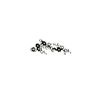 CNC(=O)c1ccc(/C=C/C(=O)NCC(=O)N(C)c2ccc(Cl)c(COc3cccc4c(N5CCOCC5)cc(C)nc34)c2Cl)cc1OC